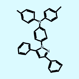 Cc1ccc(N(c2ccc(C)cc2)c2ccc(-n3nc(-c4ccccc4)cc3-c3ccccc3)cc2)cc1